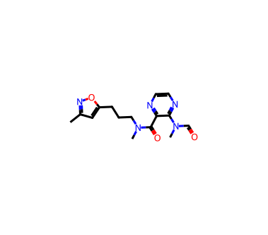 Cc1cc(CCCN(C)C(=O)c2nccnc2N(C)C=O)on1